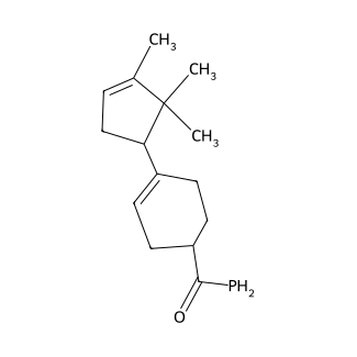 CC1=CCC(C2=CCC(C(=O)P)CC2)C1(C)C